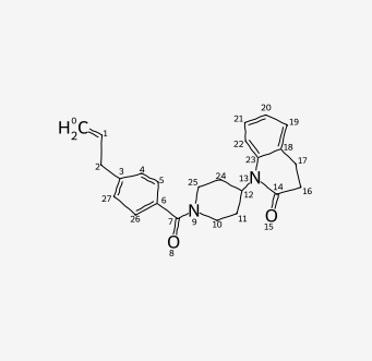 C=CCc1ccc(C(=O)N2CCC(N3C(=O)CCc4ccccc43)CC2)cc1